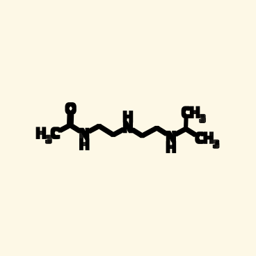 CC(=O)NCCNCCNC(C)C